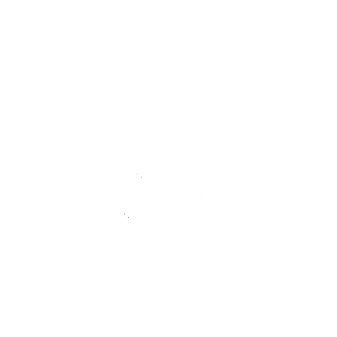 FB(c1cccc(F)c1F)c1nc[nH]c1F